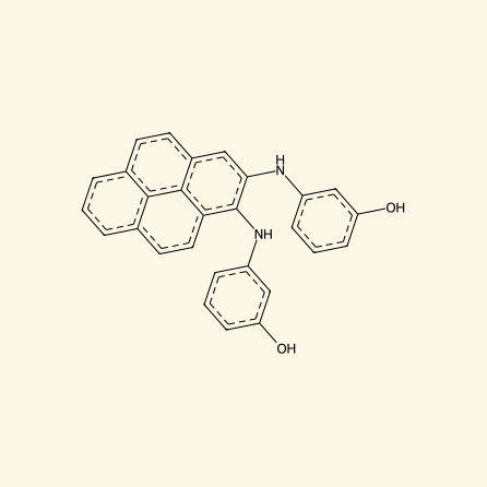 Oc1cccc(Nc2cc3ccc4cccc5ccc(c2Nc2cccc(O)c2)c3c45)c1